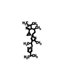 Cc1nn(CCC(C)C2C(C3CC3)=NN(C)C2C)cc1C(C)Cn1cc(C(C)C)cn1